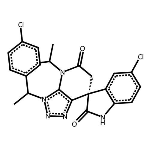 CC(C)N1C(=O)C[C@]2(C(=O)Nc3ccc(Cl)cc32)c2nnn(C(C)c3ccc(Cl)cc3)c21